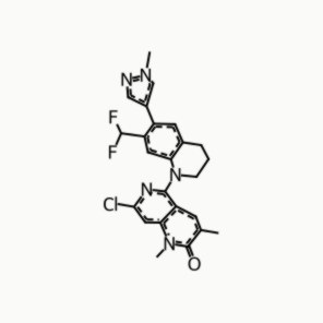 Cc1cc2c(N3CCCc4cc(-c5cnn(C)c5)c(C(F)F)cc43)nc(Cl)cc2n(C)c1=O